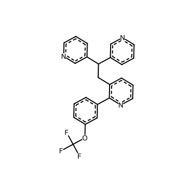 FC(F)(F)Oc1cccc(-c2ncccc2CC(c2cccnc2)c2cccnc2)c1